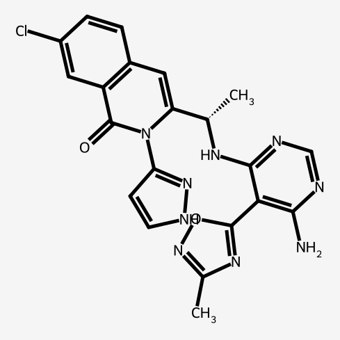 Cc1noc(-c2c(N)ncnc2N[C@@H](C)c2cc3ccc(Cl)cc3c(=O)n2-c2cc[nH]n2)n1